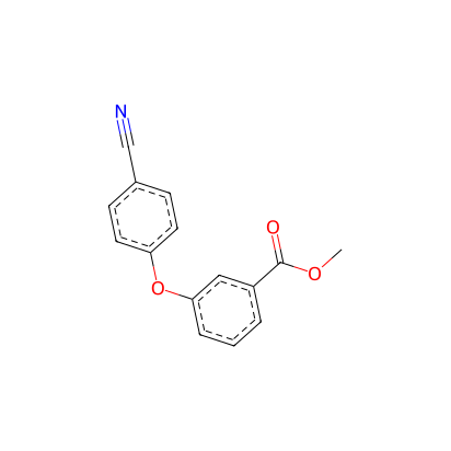 COC(=O)c1cccc(Oc2ccc(C#N)cc2)c1